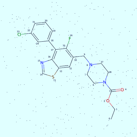 CCOC(=O)N1CCN(Cc2cc3scnc3c(-c3cccc(Cl)c3)c2F)CC1